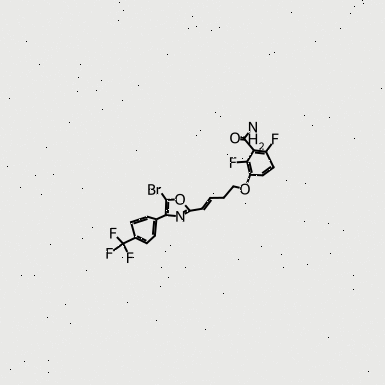 NC(=O)c1c(F)ccc(OCCC=Cc2nc(-c3ccc(C(F)(F)F)cc3)c(Br)o2)c1F